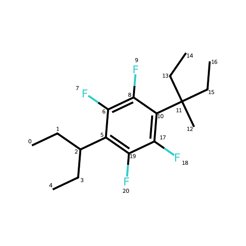 CCC(CC)c1c(F)c(F)c(C(C)(CC)CC)c(F)c1F